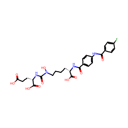 O=C(O)CC[C@H](NC(=O)N(O)CCCC[C@H](NC(=O)c1ccc(NC(=O)c2ccc(F)cc2)cc1)C(=O)O)C(=O)O